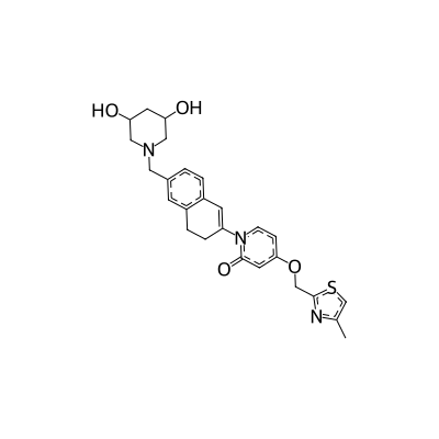 Cc1csc(COc2ccn(C3=Cc4ccc(CN5CC(O)CC(O)C5)cc4CC3)c(=O)c2)n1